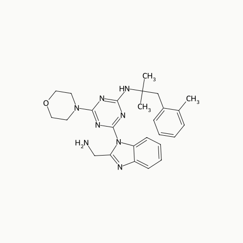 Cc1ccccc1CC(C)(C)Nc1nc(N2CCOCC2)nc(-n2c(CN)nc3ccccc32)n1